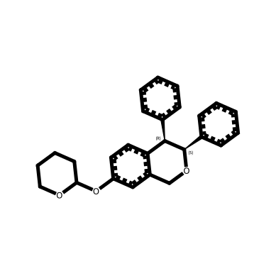 c1ccc([C@@H]2c3ccc(OC4CCCCO4)cc3CO[C@@H]2c2ccccc2)cc1